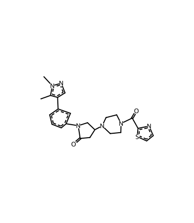 Cc1c(-c2cccc(N3CC(N4CCN(C(=O)c5nccs5)CC4)CC3=O)c2)cnn1C